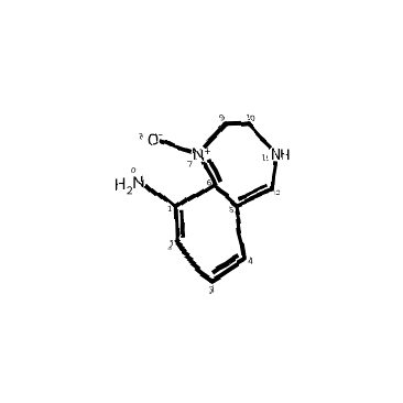 Nc1cccc2c1=[N+]([O-])CCNC=2